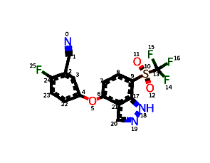 N#Cc1cc(Oc2ccc(S(=O)(=O)C(F)(F)F)c3[nH]ncc23)ccc1F